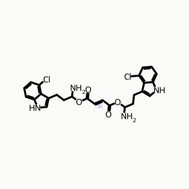 NC(CCc1c[nH]c2cccc(Cl)c12)OC(=O)/C=C/C(=O)OC(N)CCc1c[nH]c2cccc(Cl)c12